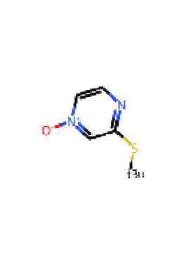 CC(C)(C)Sc1c[n+]([O-])ccn1